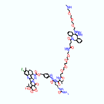 CNCCOCCOCCOCCN1NNC2=C1c1ccccc1N(C(=O)CCC(=O)NCCOCCOCCOCCOCCC(=O)N[C@H](C(=O)N[C@@H](CCCNC(N)=O)C(=O)Nc1ccc(COC(=O)N[C@H]3CCc4c(C)c(F)cc5nc6c(c3c45)Cn3c-6cc4c(c3=O)COC(=O)[C@]4(O)C(C)C)cc1)C(C)C)Cc1ccccc12